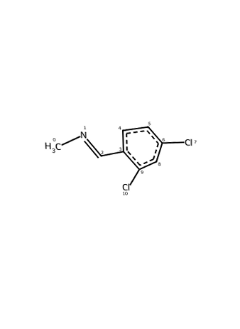 CN=Cc1ccc(Cl)cc1Cl